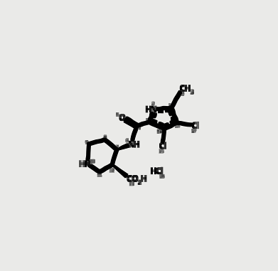 Cc1[nH]c(C(=O)N[C@@H]2CCNC[C@@H]2C(=O)O)c(Cl)c1Cl.Cl